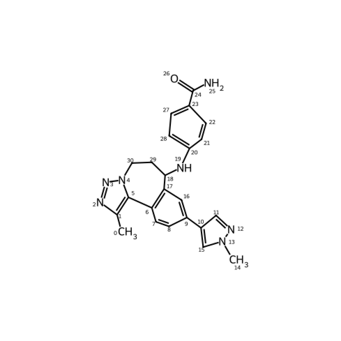 Cc1nnn2c1-c1ccc(-c3cnn(C)c3)cc1C(Nc1ccc(C(N)=O)cc1)CC2